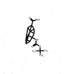 CC(C)(C)OC(=O)NC12C3C4C5(C(=O)O)C6C1C61C2C34C51